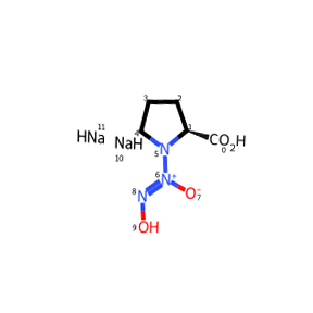 O=C(O)[C@@H]1CCCN1[N+]([O-])=NO.[NaH].[NaH]